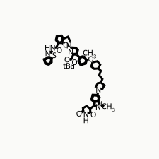 Cc1c(OC2CCC(CCCC3CCN(c4ccc5c(C6CCC(=O)NC6=O)nn(C)c5c4)CC3)CC2)cccc1-c1ccc(N2CCc3cccc(C(=O)Nc4nc5ccccc5s4)c3C2)nc1C(=O)OC(C)(C)C